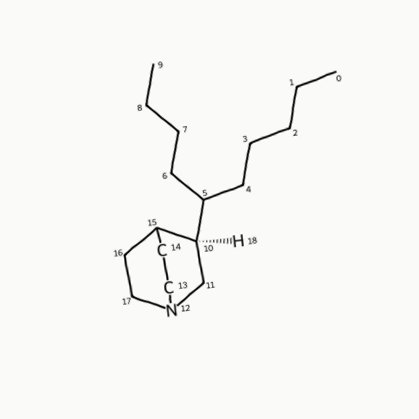 CCCCCC(CCCC)[C@H]1CN2CCC1CC2